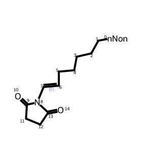 CCCCCCCCCCCCCC/C=C/N1C(=O)CCC1=O